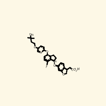 CC(C)(O)CCOc1ccc(Oc2ccc(F)c3c2CC[C@H]3Oc2ccc3c(c2)OCC3CC(=O)O)nc1